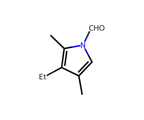 CCc1c(C)cn(C=O)c1C